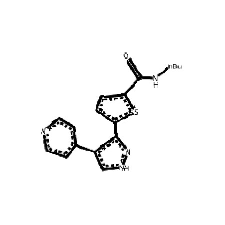 CCCCNC(=O)c1ccc(-c2n[nH]cc2-c2ccncc2)s1